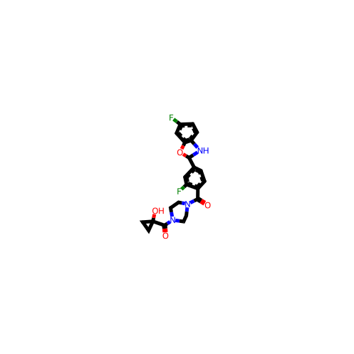 O=C(c1ccc(C2Nc3ccc(F)cc3O2)cc1F)N1CCN(C(=O)C2(O)CC2)CC1